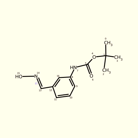 CC(C)(C)OC(=O)Nc1cccc(/C=N/O)c1